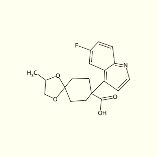 CC1COC2(CCC(C(=O)O)(c3ccnc4ccc(F)cc34)CC2)O1